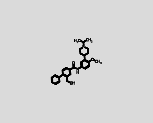 COc1ccc(NC(=O)c2ccc(-c3ccccc3)c(CO)c2)cc1C1CCN(C(C)C)CC1